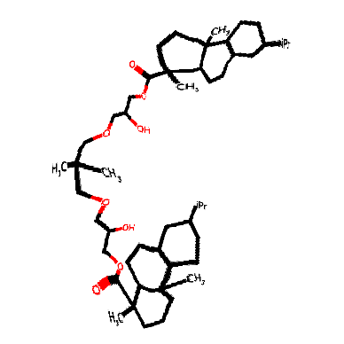 CC(C)C1CCC2C(CCC3C(C)(C(=O)OCC(O)COCC(C)(C)COCC(O)COC(=O)C4(C)CCCC5(C)C6CCC(C(C)C)CC6CCC45)CCCC23C)C1